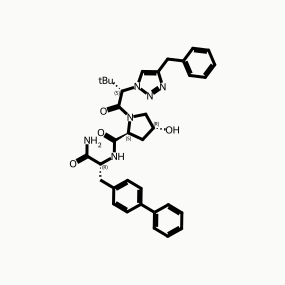 CC(C)(C)[C@@H](C(=O)N1C[C@H](O)C[C@H]1C(=O)N[C@H](Cc1ccc(-c2ccccc2)cc1)C(N)=O)n1cc(Cc2ccccc2)nn1